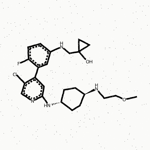 COCCN[C@H]1CC[C@H](Nc2cc(-c3cc(NCC4(O)CC4)ccc3F)c(Cl)cn2)CC1